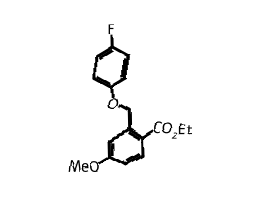 CCOC(=O)c1ccc(OC)cc1COc1ccc(F)cc1